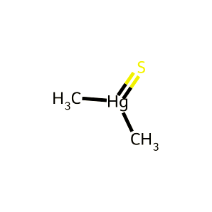 [CH3][Hg]([CH3])=[S]